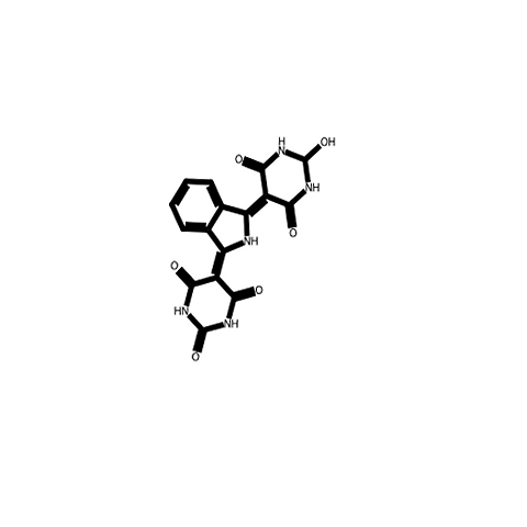 O=C1NC(=O)C(=c2[nH]c(=C3C(=O)NC(O)NC3=O)c3ccccc23)C(=O)N1